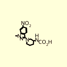 Cn1nc(N2CCCC(NC(=O)O)C2)c2ccc([N+](=O)[O-])cc21